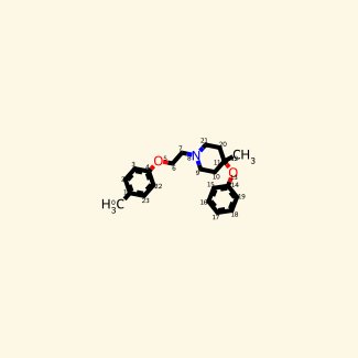 Cc1ccc(OCCN2CCC(C)(Oc3ccccc3)CC2)cc1